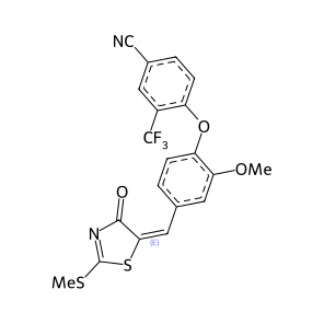 COc1cc(/C=C2/SC(SC)=NC2=O)ccc1Oc1ccc(C#N)cc1C(F)(F)F